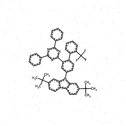 CC(C)(C)c1ccc2c3ccc(C(C)(C)C)cc3n(-c3ccc(-c4ccccc4C(F)(F)F)c(-c4nc(-c5ccccc5)nc(-c5ccccc5)n4)c3)c2c1